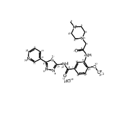 CN1CCN(CC(=O)Nc2cc(C(=O)Nc3nnc(-c4cccnc4)s3)ccc2OC(F)(F)F)CC1.Cl